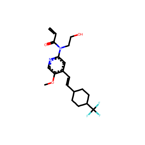 C=CC(=O)N(CCO)c1cc(C=CC2CCC(C(F)(F)F)CC2)c(OC)cn1